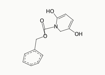 O=C(OCc1ccccc1)N1CC(O)=CC=C1O